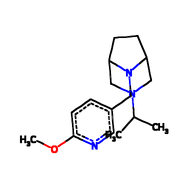 COc1ccc(CN2C3CCC2CN(C(C)C)C3)cn1